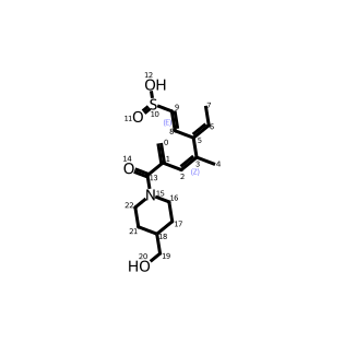 C=C(/C=C(/C)C(=CC)/C=C/S(=O)O)C(=O)N1CCC(CO)CC1